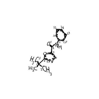 CC(C)(C)c1ncc(C(=O)Nc2ccccc2)o1